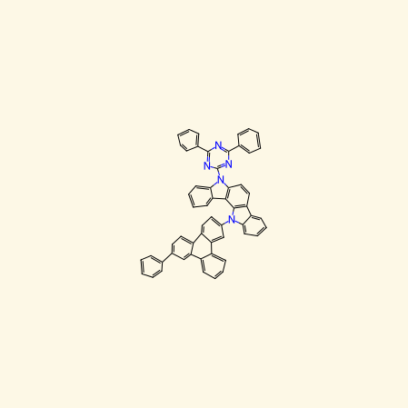 c1ccc(-c2ccc3c4ccc(-n5c6ccccc6c6ccc7c(c8ccccc8n7-c7nc(-c8ccccc8)nc(-c8ccccc8)n7)c65)cc4c4ccccc4c3c2)cc1